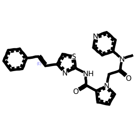 CN(C(=O)Cn1cccc1C(=O)Nc1nc(/C=C/c2ccccc2)cs1)c1ccncc1